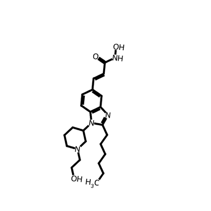 CCCCCCc1nc2cc(C=CC(=O)NO)ccc2n1C1CCCN(CCO)C1